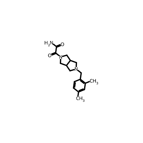 Cc1ccc(CN2CC3CN(C(=O)C(N)=O)CC3C2)c(C)c1